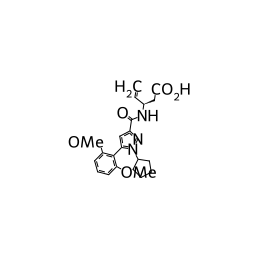 C=C[C@@H](CC(=O)O)NC(=O)c1cc(-c2c(OC)cccc2OC)n(C2CCCC2)n1